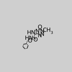 CN1N=NC2=C(C(=O)NOCc3ccccc3)NCN2C1=O